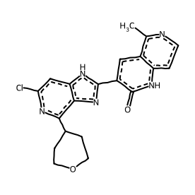 Cc1nccc2[nH]c(=O)c(-c3nc4c(C5CCOCC5)nc(Cl)cc4[nH]3)cc12